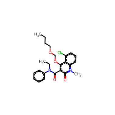 CCCCOCOc1c(C(=O)N(CC)c2ccccc2)c(=O)n(C)c2cccc(Cl)c12